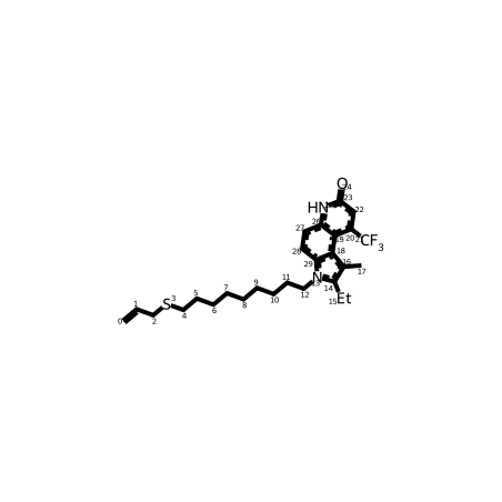 C=CCSCCCCCCCCCn1c(CC)c(C)c2c3c(C(F)(F)F)cc(=O)[nH]c3ccc21